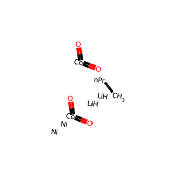 CCCC.[LiH].[LiH].[Ni].[Ni].[O]=[Co]=[O].[O]=[Co]=[O]